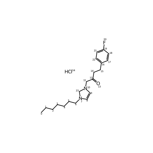 CCCCCCCN1C=CN(CC(=O)CCc2ccc(F)cc2)C1.Cl